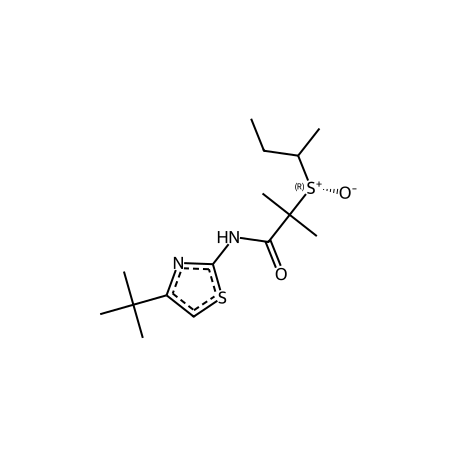 CCC(C)[S@+]([O-])C(C)(C)C(=O)Nc1nc(C(C)(C)C)cs1